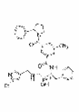 CCn1cc(CNC[C@H](O)[C@H](Cc2ccccc2)NC(=O)c2cc(C)cc(C(=O)N3CCCC3c3ccccc3)c2)cn1